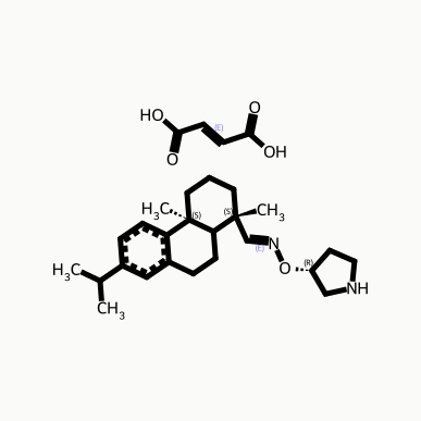 CC(C)c1ccc2c(c1)CCC1[C@@](C)(/C=N/O[C@@H]3CCNC3)CCC[C@]21C.O=C(O)/C=C/C(=O)O